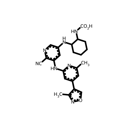 Cc1cc(-c2conc2C)cc(Nc2cc(NC3CCCCC3NC(=O)O)cnc2C#N)n1